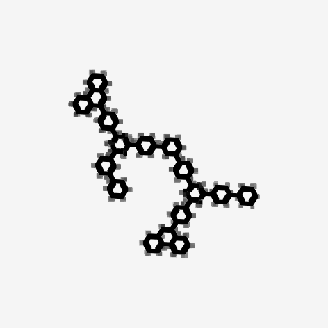 c1ccc(-c2ccc(-c3nc(-c4ccc(-c5cccc(-c6ccc(-c7nc(-c8ccc(-c9cc%10ccccc%10c%10ccccc9%10)cc8)nc(-c8cccc(-c9ccccc9)c8)n7)cc6)c5)cc4)nc(-c4ccc(-c5cc6ccccc6c6ccccc56)cc4)n3)cc2)cc1